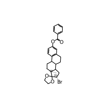 C[C@]12CCC3c4ccc(OC(=O)c5ccccc5)cc4CCC3C1C[C@H](Br)C21OCCO1